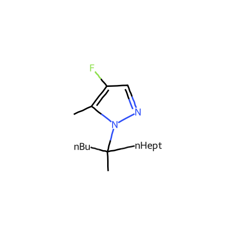 CCCCCCCC(C)(CCCC)n1ncc(F)c1C